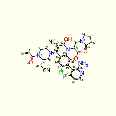 C=CC(=O)N1CCN(C2=C(C#N)C(O)N3c4c2cc(Cl)c(-c2c(F)ccnc2N)c4OCC3CN2CCCC2=O)C[C@@H]1CC#N